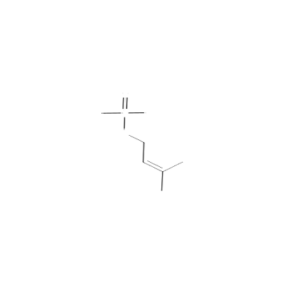 CC(C)=CCOP(=O)(Cl)Cl